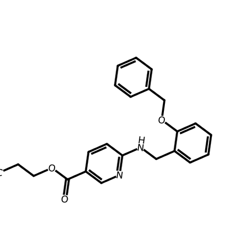 CCCOC(=O)c1ccc(NCc2ccccc2OCc2ccccc2)nc1